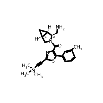 Cc1cccc(-c2sc(C#C[Si](C)(C)C)nc2C(=O)N2C[C@H]3C[C@H]3[C@H]2CN)c1